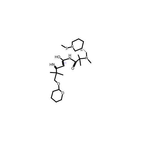 CSN1CCC[C@H](CN(C)C(C)(C)C(=O)N/C(O)=C/C(=N)C(C)(C)COC2CCCCO2)C1